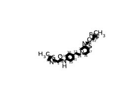 Cc1cnc(CC(=O)N[C@H]2CC[C@H](CCN3CCc4sc(OCC(C)(F)F)nc4C3)CC2)s1